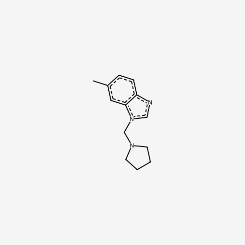 Cc1ccc2ncn(CN3CCCC3)c2c1